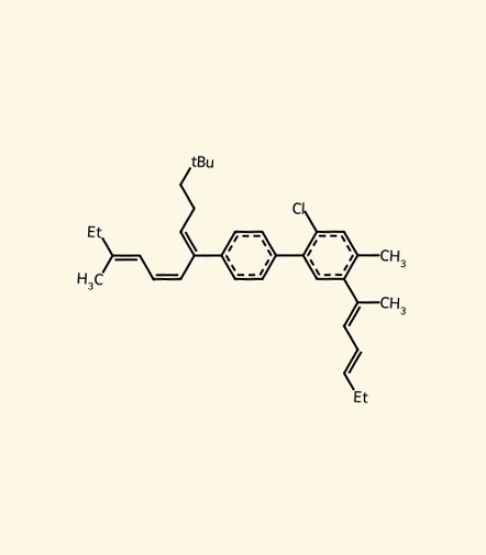 CC/C=C/C=C(\C)c1cc(-c2ccc(C(/C=C\C=C(/C)CC)=C\CCC(C)(C)C)cc2)c(Cl)cc1C